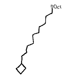 CCCCCCCCCCCCCCCCCCC1CCC1